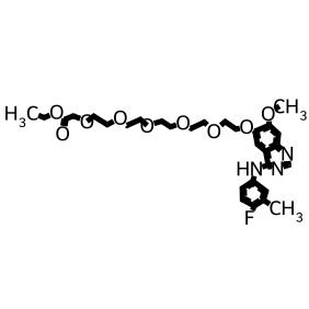 CCOC(=O)COCCOCCOCCOCCOCCOc1cc2c(Nc3ccc(F)c(C)c3)ncnc2cc1OC